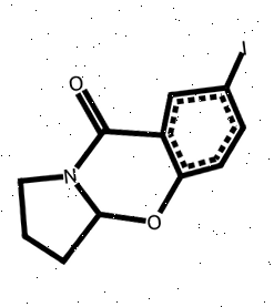 O=C1c2cc(I)ccc2OC2CCCN12